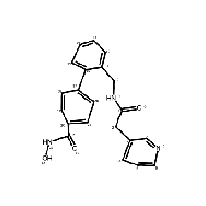 O=C(Cc1cccnc1)NCc1ccccc1-c1ccc(C(=O)NO)cc1